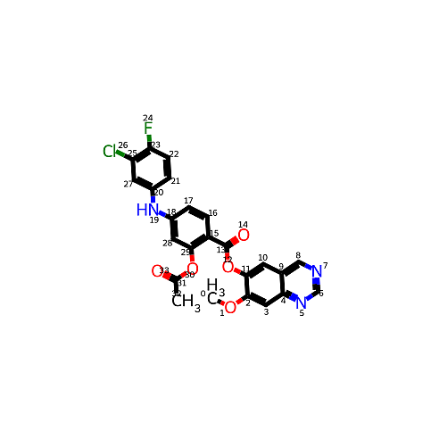 COc1cc2ncncc2cc1OC(=O)c1ccc(Nc2ccc(F)c(Cl)c2)cc1OC(C)=O